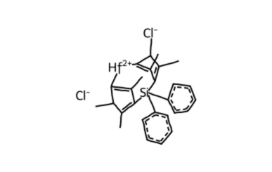 CC1=[C]2[Hf+2][C]3=C(C)C(=C(C)C3C)[Si](c3ccccc3)(c3ccccc3)C1=C(C)C2C.[Cl-].[Cl-]